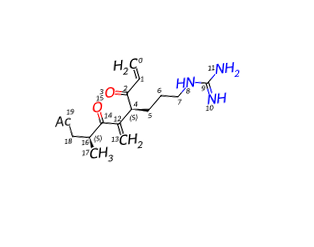 C=CC(=O)[C@@H](CCCNC(=N)N)C(=C)C(=O)[C@@H](C)CC(C)=O